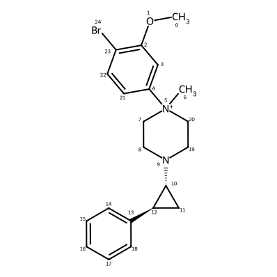 COc1cc([N+]2(C)CCN([C@@H]3C[C@H]3c3ccccc3)CC2)ccc1Br